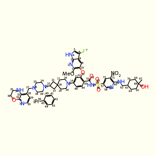 COc1nc2[nH]cc(F)c2cc1Oc1cc(N2CCC3(CC2)CC(N2CCN(Cc4ccnc5c4NCCO5)C[C@H]2c2ccccc2C(C)C)C3)ccc1C(=O)NS(=O)(=O)c1cnc(NCC2CCC(C)(O)CC2)c([N+](=O)[O-])c1